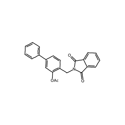 CC(=O)Oc1cc(-c2ccccc2)ccc1CN1C(=O)c2ccccc2C1=O